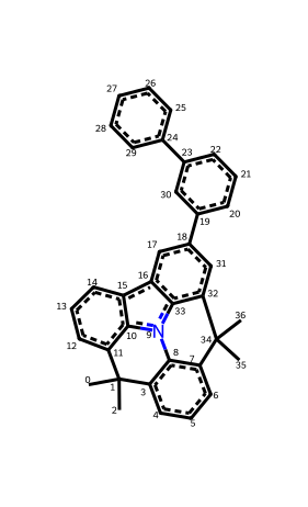 CC1(C)c2cccc3c2-n2c4c1cccc4c1cc(-c4cccc(-c5ccccc5)c4)cc(c12)C3(C)C